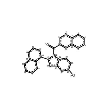 O=C(c1cnc2ccccc2c1)n1c(-c2cccc3ccccc23)nc2cc(Cl)ccc21